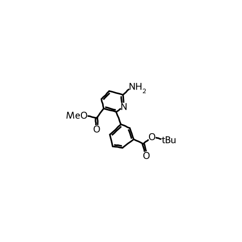 COC(=O)c1ccc(N)nc1-c1cccc(C(=O)OC(C)(C)C)c1